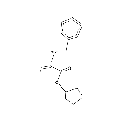 CC=C(NCc1ccccc1)C(=O)OC1CCCC1